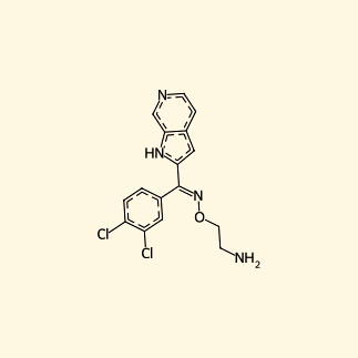 NCCON=C(c1ccc(Cl)c(Cl)c1)c1cc2ccncc2[nH]1